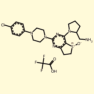 NCC1CCCN1c1nc(N2CCN(c3ccc(Cl)cc3)CC2)nc2c1[S@@+]([O-])CC2.O=C(O)C(F)(F)F